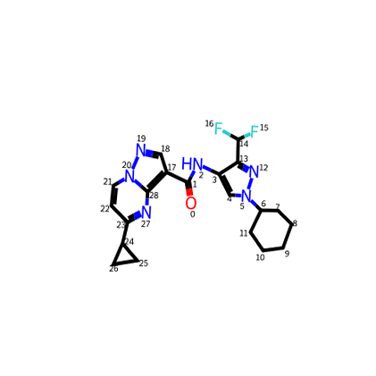 O=C(Nc1cn(C2CCCCC2)nc1C(F)F)c1cnn2ccc(C3CC3)nc12